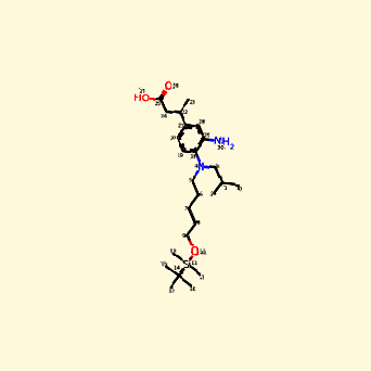 CC(C)CN(CCCCCO[Si](C)(C)C(C)(C)C)c1ccc([C@H](C)CC(=O)O)cc1N